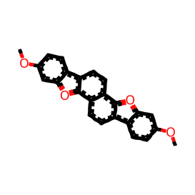 COc1ccc2c(c1)oc1c2ccc2c1ccc1c3ccc(OC)cc3oc12